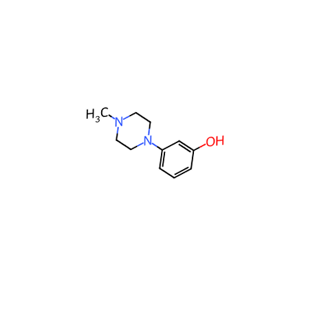 CN1CCN(c2cccc(O)c2)CC1